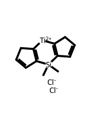 C[Si]1(C)C2=[C](CC=C2)[Ti+2][C]2=C1C=CC2.[Cl-].[Cl-]